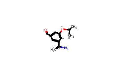 C=C(N)c1cc(C=O)cc(OC(C)C)c1